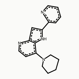 c1ccc(-c2cc3nccc(N4CCCCC4)c3[nH]2)nc1